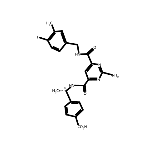 Cc1cc(CNC(=O)c2cc(C(=O)N[C@@H](C)c3ccc(C(=O)O)cc3)nc(N)n2)ccc1F